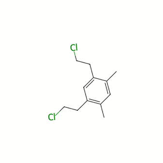 Cc1cc(C)c(CCCl)cc1CCCl